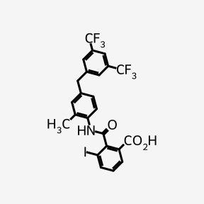 Cc1cc(Cc2cc(C(F)(F)F)cc(C(F)(F)F)c2)ccc1NC(=O)c1c(I)cccc1C(=O)O